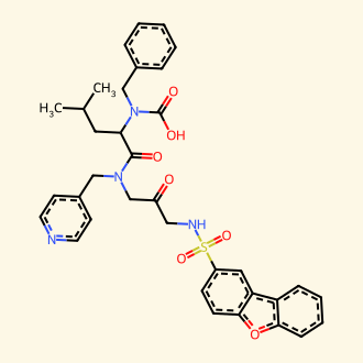 CC(C)CC(C(=O)N(CC(=O)CNS(=O)(=O)c1ccc2oc3ccccc3c2c1)Cc1ccncc1)N(Cc1ccccc1)C(=O)O